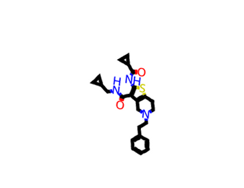 O=C(NCC1CC1)c1c(NC(=O)C2CC2)sc2c1CN(CCc1ccccc1)CC2